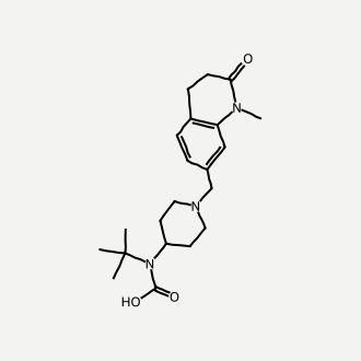 CN1C(=O)CCc2ccc(CN3CCC(N(C(=O)O)C(C)(C)C)CC3)cc21